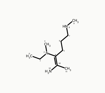 CCN(C)/C(CCCNC)=C(/C)N